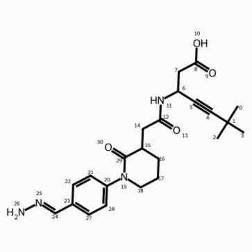 CC(C)(C)C#CC(CC(=O)O)NC(=O)CC1CCCN(c2ccc(C=NN)cc2)C1=O